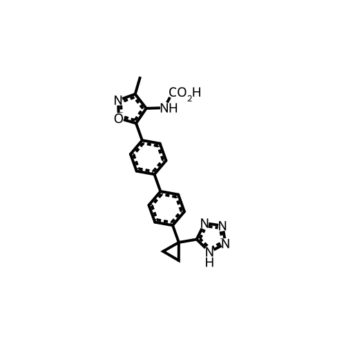 Cc1noc(-c2ccc(-c3ccc(C4(c5nnn[nH]5)CC4)cc3)cc2)c1NC(=O)O